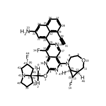 [2H]C([2H])(Oc1nc(N2CCOC[C@H]3[C@H](F)[C@H]32)c2cnc(-c3cc(N)cc4cccc(C#C)c34)c(F)c2n1)[C@@]12CCCN1C[C@H](F)C2